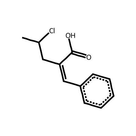 CC(Cl)CC(=Cc1ccccc1)C(=O)O